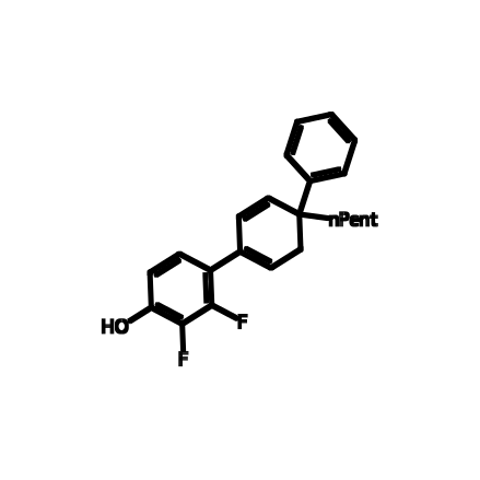 CCCCCC1(c2ccccc2)C=CC(c2ccc(O)c(F)c2F)=CC1